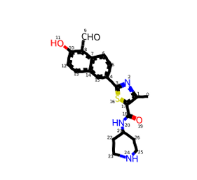 Cc1nc(-c2ccc3c(C=O)c(O)ccc3c2)sc1C(=O)NC1CCNCC1